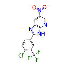 O=[N+]([O-])c1cnc2[nH]c(-c3ccc(Cl)c(C(F)(F)F)c3)nc2c1